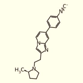 [C-]#[N+]c1ccc(-c2ccn3cc(CCN4CCC[C@H]4C)nc3c2)cc1